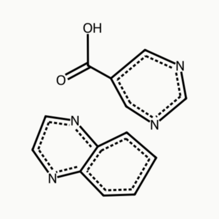 O=C(O)c1cncnc1.c1ccc2nccnc2c1